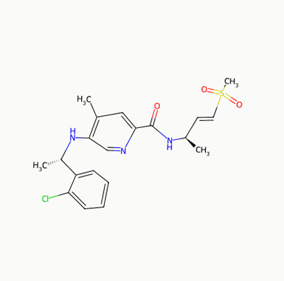 Cc1cc(C(=O)N[C@H](C)/C=C/S(C)(=O)=O)ncc1N[C@@H](C)c1ccccc1Cl